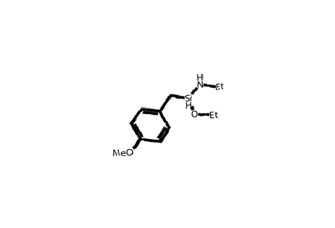 CCN[SiH](Cc1ccc(OC)cc1)OCC